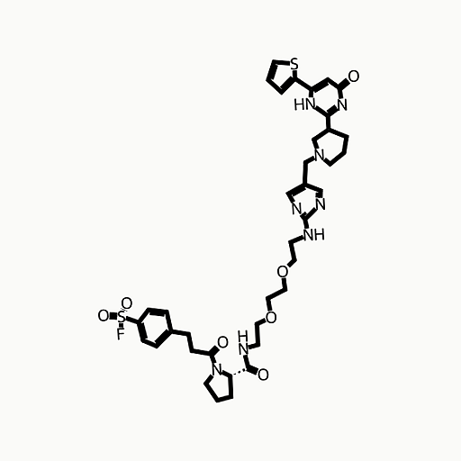 O=C(NCCOCCOCCNc1ncc(CN2CCCC(c3nc(=O)cc(-c4cccs4)[nH]3)C2)cn1)[C@@H]1CCCN1C(=O)CCc1ccc(S(=O)(=O)F)cc1